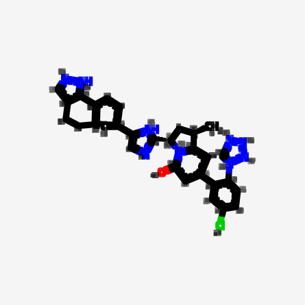 C[C@@H]1C[C@@H](c2ncc(-c3ccc4c(c3)CCc3cn[nH]c3-4)[nH]2)n2c1cc(-c1cc(Cl)ccc1-n1cnnn1)cc2=O